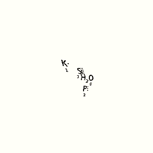 O.[K].[P].[Si]